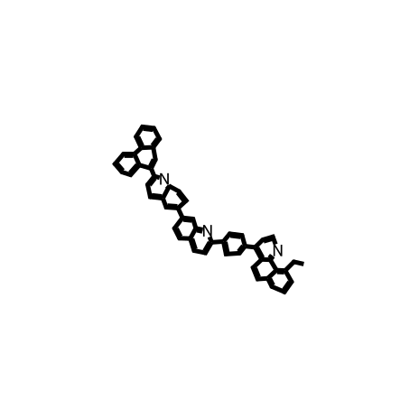 CCc1cccc2ccc3c(-c4ccc(-c5ccc6ccc(-c7ccc8nc(-c9cc%10ccccc%10c%10ccccc9%10)ccc8c7)cc6n5)cc4)ccnc3c12